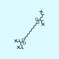 CC(CCC(C(=O)OCCCCCCCCCCCCOC(=O)C(CCC(C)CC(C)(C)C)C(C)CC(C)(C)C)C(C)CC(C)(C)C)CC(C)(C)C